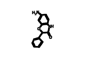 Nc1ccc2c(c1)OC(c1ccccc1)C(=O)N2